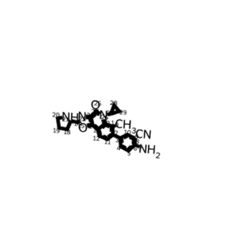 Cc1c(-c2ccc(N)c(C#N)c2)ccc2c3oc(C4CCCN4)nc3c(=O)n(C3CC3)c12